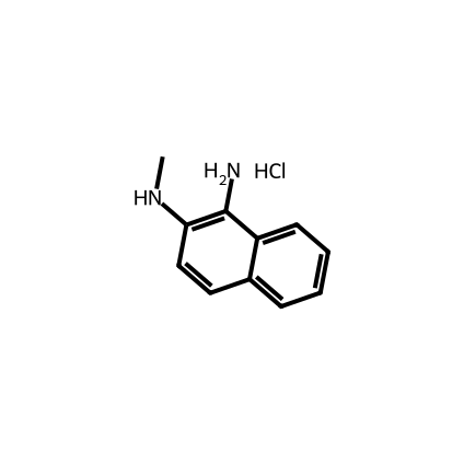 CNc1ccc2ccccc2c1N.Cl